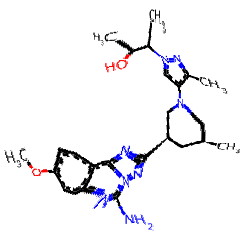 COc1ccc2c(c1)nc(N)n1nc([C@@H]3C[C@H](C)CN(c4cn(C(C)C(C)O)nc4C)C3)nc21